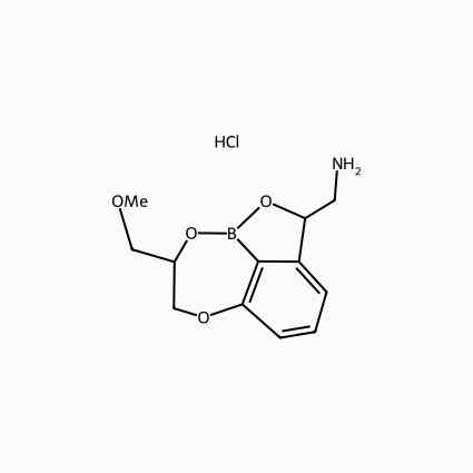 COCC1COc2cccc3c2B(O1)OC3CN.Cl